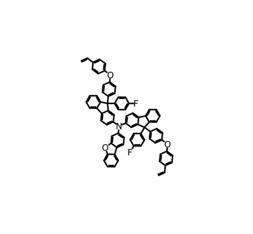 C=Cc1ccc(Oc2ccc(C3(c4ccc(F)cc4)c4ccccc4-c4ccc(N(c5ccc6c(c5)C(c5ccc(F)cc5)(c5ccc(Oc7ccc(C=C)cc7)cc5)c5ccccc5-6)c5ccc6c(c5)oc5ccccc56)cc43)cc2)cc1